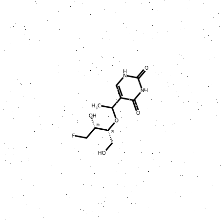 CC(O[C@H](CO)[C@@H](O)CF)c1c[nH]c(=O)[nH]c1=O